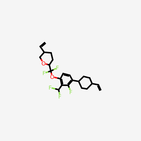 C=CC1CCC(c2ccc(OC(F)(F)C3CCC(C=C)CO3)c(C(F)F)c2F)CC1